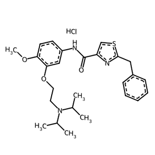 COc1ccc(NC(=O)c2csc(Cc3ccccc3)n2)cc1OCCN(C(C)C)C(C)C.Cl